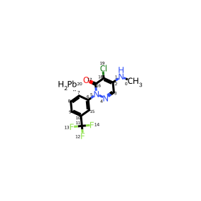 CNc1cnn(-c2cccc(C(F)(F)F)c2)c(=O)c1Cl.[PbH2]